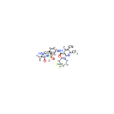 Cc1c(C#N)c(C(F)(F)F)nc(N2CCCC(F)(F)CC2)c1C(=O)Nc1cccc(S(C)(=O)=NC(=O)C2(NC(=O)O)CC2)c1